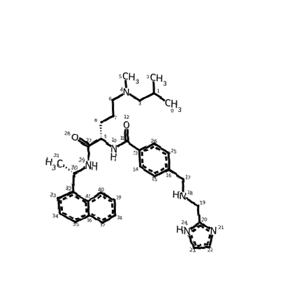 CC(C)CN(C)CCC[C@H](NC(=O)c1ccc(CNCc2ncc[nH]2)cc1)C(=O)N[C@@H](C)c1cccc2ccccc12